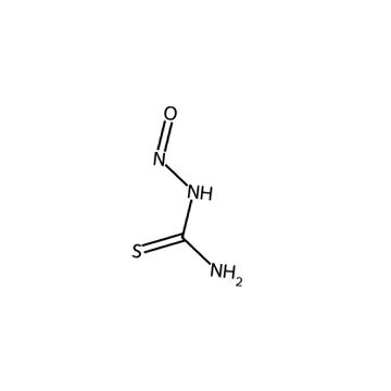 NC(=S)NN=O